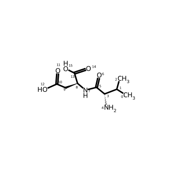 CC(C)[C@H](N)C(=O)N[C@@H](CC(=O)O)C(=O)O